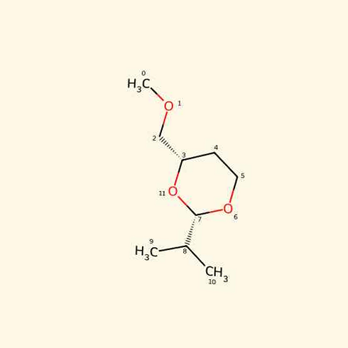 COC[C@@H]1CCO[C@H](C(C)C)O1